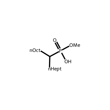 CCCCCCCCC(CCCCCCC)P(=O)(O)OC